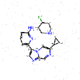 F[C@H]1CCNC[C@@H]1Nc1cccc(-c2cnc3cnc(C4CC4)cn23)n1